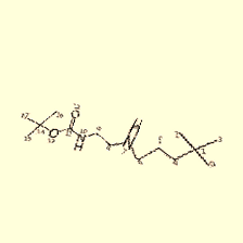 CC(C)(C)CCCNCCNC(=O)OC(C)(C)C